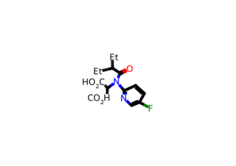 CCC(CC)C(=O)N(c1ccc(F)cn1)C(C(=O)O)C(=O)O